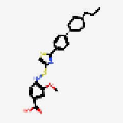 CCC[C@H]1CC[C@H](c2ccc(-c3nc(SNc4ccc(C(=O)O)cc4OC)cs3)cc2)CC1